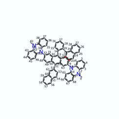 CN1c2ccccc2N(c2ccc3c(-c4ccccc4-c4cccc5ccccc45)c4cc(N5c6ccccc6N(C)c6ccccc65)ccc4c(-c4ccc5ccccc5c4)c3c2)c2ccccc21